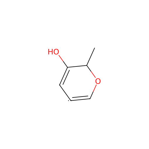 CC1OC=[C]C=C1O